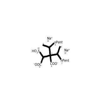 CCCCCC(C)C(C(=O)[O-])(C(C)CCCCC)C(C(=O)[O-])S(=O)(=O)O.[Na+].[Na+]